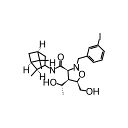 C[C@H](O)[C@@H]1[C@H](CO)ON(Cc2cccc(I)c2)[C@@H]1C(=O)NC1C[C@@H]2C[C@H]([C@@H]1C)C2(C)C